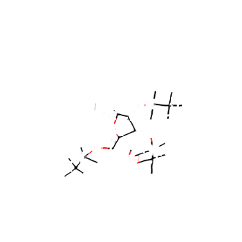 B[C@@H]1O[C@](CO)(CO[Si](C)(C)C(C)(C)C)[C@@H](O[Si](C)(C)C(C)(C)C)[C@H]1O[Si](C)(C)C(C)(C)C